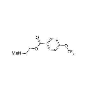 CNCCOC(=O)c1ccc(OC(F)(F)F)cc1